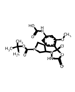 COc1cc(NC(=O)O)ccc1C1(Cl)OC(=O)NN1C1CCN(C(=O)OC(C)(C)C)C1